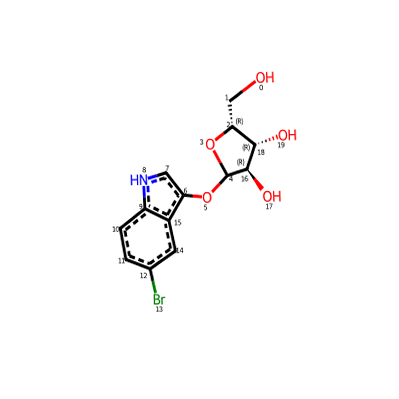 OC[C@H]1OC(Oc2c[nH]c3ccc(Br)cc23)[C@H](O)[C@H]1O